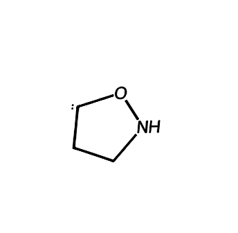 [C]1CCNO1